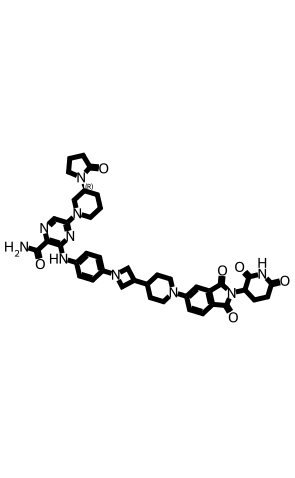 NC(=O)c1ncc(N2CCC[C@@H](N3CCCC3=O)C2)nc1Nc1ccc(N2CC(C3CCN(c4ccc5c(c4)C(=O)N(C4CCC(=O)NC4=O)C5=O)CC3)C2)cc1